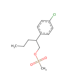 CCCC(COS(C)(=O)=O)c1ccc(Cl)cc1